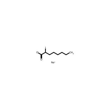 CCCCCCC(I)C(=O)[O-].[Na+]